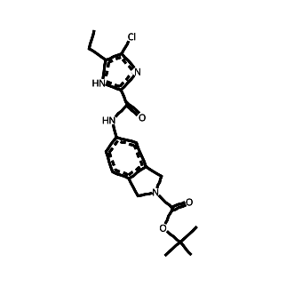 CCc1[nH]c(C(=O)Nc2ccc3c(c2)CN(C(=O)OC(C)(C)C)C3)nc1Cl